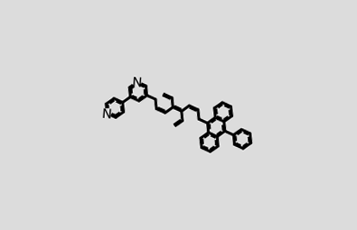 C=CC(/C=C\Cc1cncc(-c2ccncc2)c1)=C(C=C)\C=C/Cc1c2ccccc2c(-c2ccccc2)c2ccccc12